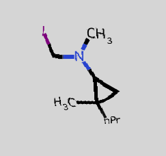 CCCC1(C)CC1N(C)CI